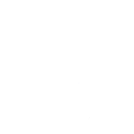 CCCCOCCOCCO/C=C(\C)c1ccc(OC)c(OC)c1